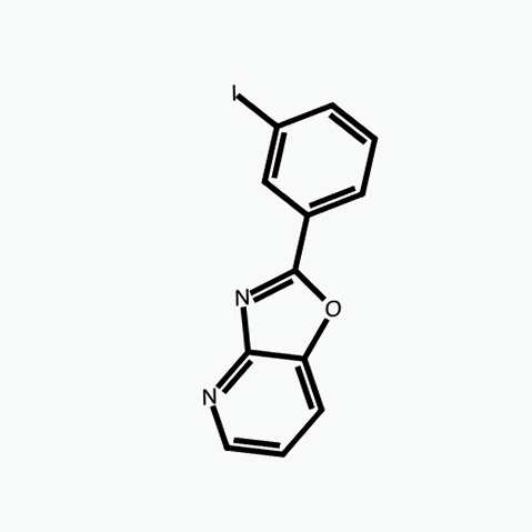 Ic1cccc(-c2nc3ncccc3o2)c1